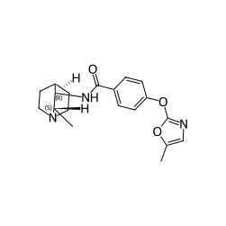 Cc1cnc(Oc2ccc(C(=O)N[C@@H]3C4CCN(CC4)[C@H]3C)cc2)o1